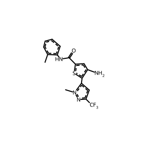 Cc1ccccc1NC(=O)c1cc(N)c(-c2cc(C(F)(F)F)nn2C)s1